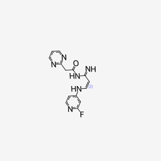 N=C(/C=C\Nc1ccnc(F)c1)NC(=O)Cc1ncccn1